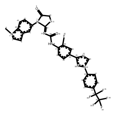 Cn1ccc2cc(N3C(=O)CSC3=NC(=O)Nc3ccc(-c4ncn(-c5ccc(C(F)(F)C(F)(F)F)cc5)n4)cc3F)ccc21